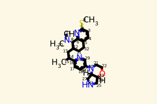 CSc1ccc2c(n1)[C@@H](N(C)C)C(CC(C)c1ccc(N3CCO[C@H]4CNC[C@@H]43)cn1)CC2